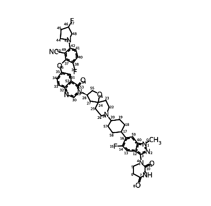 Cn1nc(N2CCC(=O)NC2=O)c2cc(F)c(C3CCC(N4CCC5(CC4)C[C@@H](n4cnc6ccc(Oc7c(F)ccc(N8CCC(F)C8)c7C#N)cc6c4=O)CO5)CC3)cc21